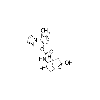 Cn1ncc(OC(=O)NC2[C@@H]3CC4C[C@H]2CC(O)(C4)C3)c1-n1cccn1